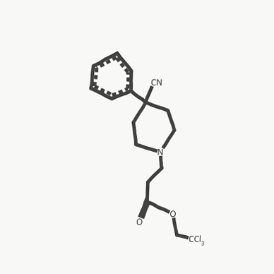 N#CC1(c2ccccc2)CCN(CCC(=O)OCC(Cl)(Cl)Cl)CC1